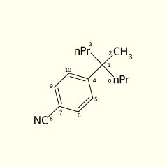 CCCC(C)(CCC)c1ccc(C#N)cc1